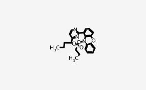 CCCCc1ccnc(-c2cccc3c2N(OS(=O)(=O)CCC)c2ccccc2O3)n1